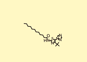 CCCCCCCCCCCC(=O)Nc1nc(C(C)(C)C)c(-n2cncn2)s1